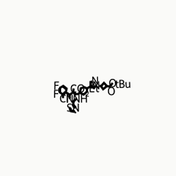 CCOC(=O)C1=C(C2CCC(c3cnn(C4CC(C(=O)OC(C)(C)C)C4)c3)CC2)NC(c2nccs2)=NC1c1ccc(F)c(F)c1Cl